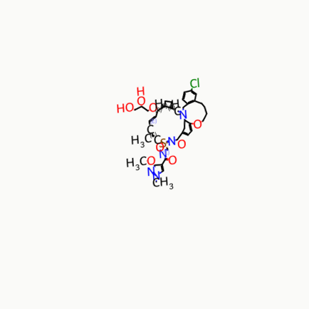 COc1nn(C)cc1C(=O)/N=C/S1(=O)=NC(=O)C2=CC=C3OCCCCc4cc(Cl)ccc4CN(C[C@@H]4CC[C@H]4[C@@H](OCC(O)CO)/C=C/C[C@H](C)C1)C3C2